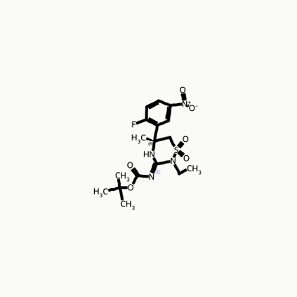 CCN1/C(=N/C(=O)OC(C)(C)C)N[C@](C)(c2cc([N+](=O)[O-])ccc2F)CS1(=O)=O